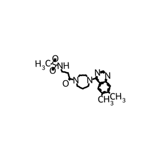 Cc1cc2ncnc(N3CCCN(C(=O)CCNS(C)(=O)=O)CC3)c2cc1C